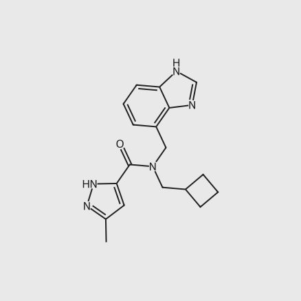 Cc1cc(C(=O)N(Cc2cccc3[nH]cnc23)CC2CCC2)[nH]n1